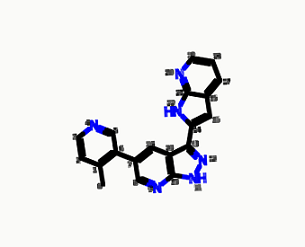 Cc1ccncc1-c1cnc2[nH]nc(-c3cc4cccnc4[nH]3)c2c1